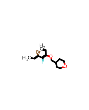 C=CC(OCC1CCOCC1)=C(F)C(Br)=CC